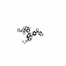 CC(C)(C)N(C(=O)O)C1CCCN(c2ccc(C(N)=O)c(Nc3ccc(C(=O)N4CCOCC4)cc3)n2)C1